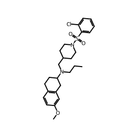 CCCN(CC1CCN(S(=O)(=O)c2ccccc2Cl)CC1)C1CCc2ccc(OC)cc2C1